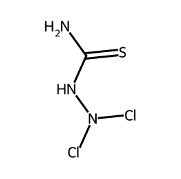 NC(=S)NN(Cl)Cl